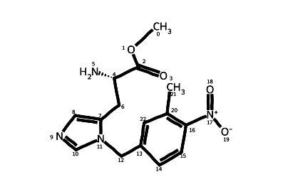 COC(=O)[C@@H](N)Cc1cncn1Cc1ccc([N+](=O)[O-])c(C)c1